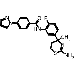 CC1(c2ccc(F)c(NC(=O)c3ccc(-n4cccn4)cc3)c2)CCSC(N)=N1